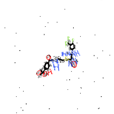 N=C(Nc1ccc(F)c(C(F)F)c1)c1nonc1SCCNC(=O)c1ccc(C2(O)COC2)cc1